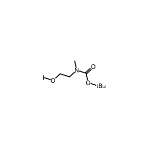 CN(CCOI)C(=O)OC(C)(C)C